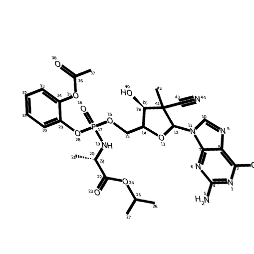 COc1nc(N)nc2c1ncn2C1OC(COP(=O)(N[C@@H](C)C(=O)OC(C)C)Oc2ccccc2OC(C)=O)[C@@H](O)C1(C)C#N